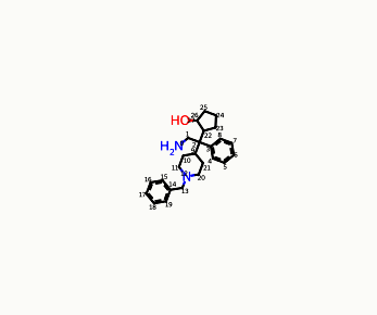 NCC(c1ccccc1)(C1CCN(Cc2ccccc2)CC1)C1CCCC1O